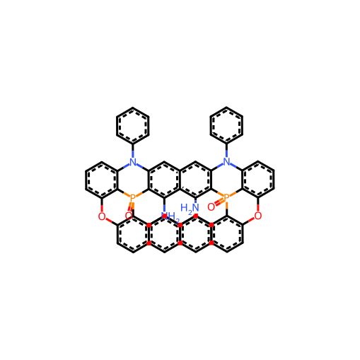 Nc1c2c(cc3cc4c(c(N)c13)P1(=O)c3c(Cc5ccccc5)cccc3Oc3cccc(c31)N4c1ccccc1)N(c1ccccc1)c1cccc3c1P2(=O)c1c(Cc2ccccc2)cccc1O3